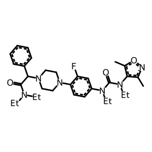 CCN(CC)C(=O)C(c1ccccc1)N1CCN(c2ccc(N(CC)C(=O)N(CC)c3c(C)noc3C)cc2F)CC1